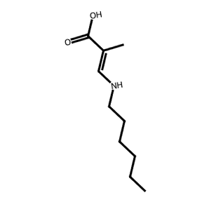 CCCCCCN/C=C(\C)C(=O)O